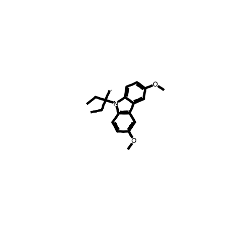 [CH2]C(CC)(CC)n1c2ccc(OC)cc2c2cc(OC)ccc21